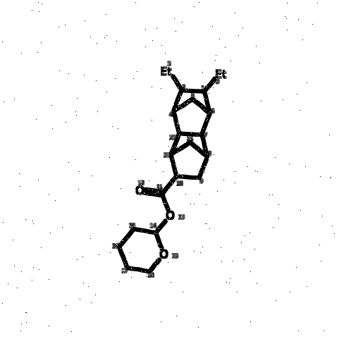 CCC1C(CC)C2CC1C1C3CC(C(=O)OC4CCCCO4)C(C3)C21